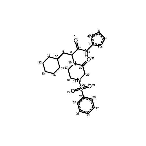 O=C(Nc1nccs1)C(CC1CCCCC1)N1CCN(S(=O)(=O)c2ccccc2)CC1=O